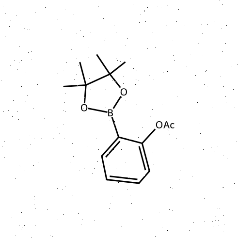 CC(=O)Oc1ccccc1B1OC(C)(C)C(C)(C)O1